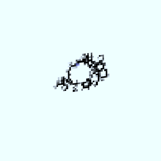 CCC(=O)N[S@]1(=O)=NC(=O)c2ccc3c(c2)N(C[C@@H]2CC[C@H]2[C@@H](O)/C=C/CCC1)C[C@@]1(CCCc2cc(Cl)ccc21)CO3